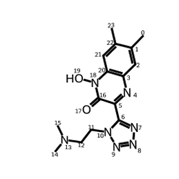 Cc1cc2nc(-c3nnnn3CCN(C)C)c(=O)n(O)c2cc1C